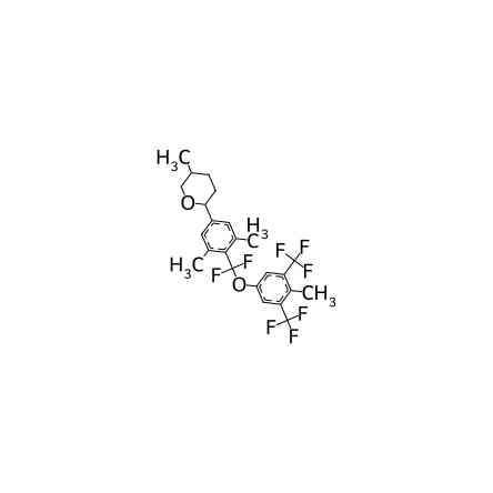 Cc1cc(C2CCC(C)CO2)cc(C)c1C(F)(F)Oc1cc(C(F)(F)F)c(C)c(C(F)(F)F)c1